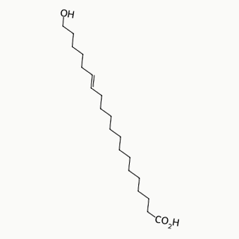 O=C(O)CCCCCCCCCCCCC=CCCCCCO